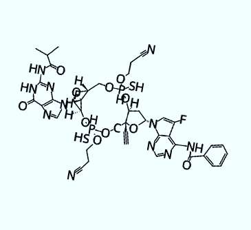 C#C[C@@]12CO[PH](S)(OCCC#N)O[C@@H]3[C@H](F)[C@@H](CO[PH](S)(OCCC#N)O[C@H]1C[C@H](n1cc(F)c4c(NC(=O)c5ccccc5)ncnc41)O2)O[C@H]3n1cnc2c(=O)[nH]c(NC(=O)C(C)C)nc21